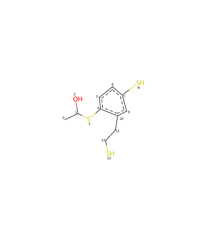 CC(O)Sc1ccc(S)cc1CCS